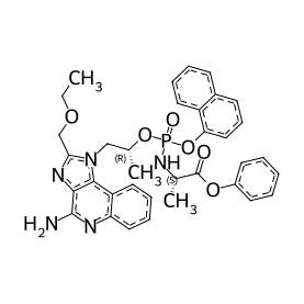 CCOCc1nc2c(N)nc3ccccc3c2n1C[C@@H](C)OP(=O)(N[C@@H](C)C(=O)Oc1ccccc1)Oc1cccc2ccccc12